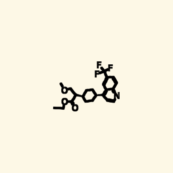 CCOC(=O)C(COC)[C@H]1CC[C@@H](c2ccnc3ccc(C(F)(F)F)cc32)CC1